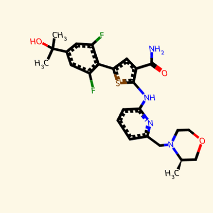 C[C@@H]1COCCN1Cc1cccc(Nc2sc(-c3c(F)cc(C(C)(C)O)cc3F)cc2C(N)=O)n1